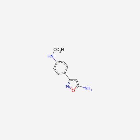 Nc1cc(-c2ccc(NC(=O)O)cc2)no1